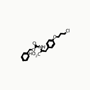 O=C(NC(Cc1ccc(OCCCCl)cc1)C(=O)O)OCc1ccccc1